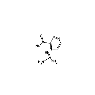 N=C(N)N.O=[C]([Na])c1cnccn1